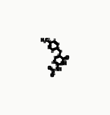 Cc1ccc(Cc2cnc(N[N+](=O)[O-])[nH]c2=O)cn1